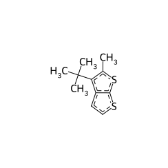 Cc1sc2sccc2c1C(C)(C)C